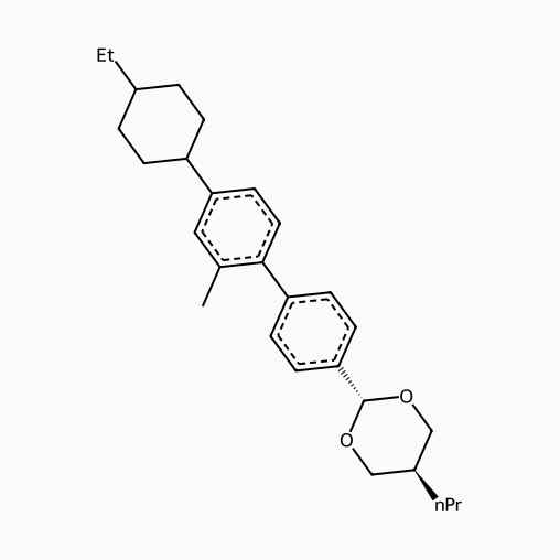 CCC[C@H]1CO[C@H](c2ccc(-c3ccc(C4CCC(CC)CC4)cc3C)cc2)OC1